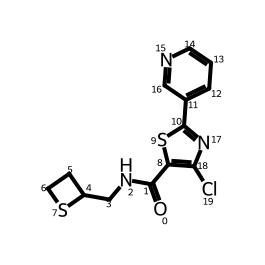 O=C(NCC1CCS1)c1sc(-c2cccnc2)nc1Cl